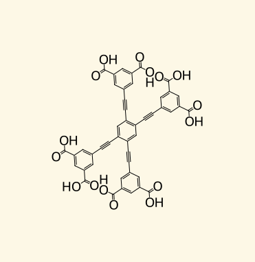 O=C(O)c1cc(C#Cc2cc(C#Cc3cc(C(=O)O)cc(C(=O)O)c3)c(C#Cc3cc(C(=O)O)cc(C(=O)O)c3)cc2C#Cc2cc(C(=O)O)cc(C(=O)O)c2)cc(C(=O)O)c1